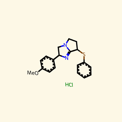 COc1ccc(C2CN3CCC(Sc4ccccc4)C3=N2)cc1.Cl